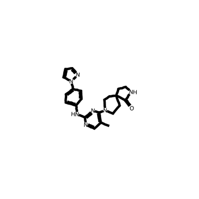 Cc1cnc(Nc2ccc(-n3cccn3)cc2)nc1N1CCC2(CCNC2=O)CC1